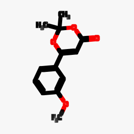 CC1(C)OC(=O)C=C(c2cccc(OC(F)(F)F)c2)O1